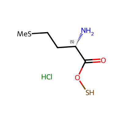 CSCC[C@H](N)C(=O)OS.Cl